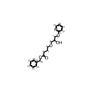 O=C(CCCOCC(O)COc1ccccn1)OCc1ccccc1